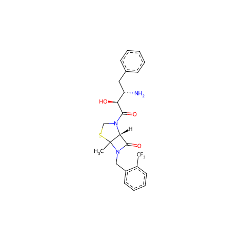 CC12SCN(C(=O)[C@@H](O)[C@@H](N)Cc3ccccc3)[C@@H]1C(=O)N2Cc1ccccc1C(F)(F)F